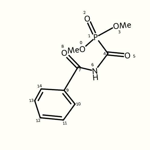 COP(=O)(OC)C(=O)NC(=O)c1ccccc1